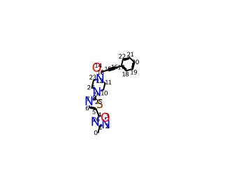 Cc1noc(-c2cnc(N3CCN(C(=O)C#Cc4ccccc4)CC3)s2)n1